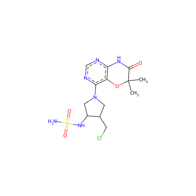 CC1(C)Oc2c(ncnc2N2CC(CCl)C(NS(N)(=O)=O)C2)NC1=O